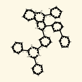 c1ccc(-c2cccc(-c3c(-c4cccc(-c5nc(-c6ccccc6)nc(-c6ccccc6)n5)c4)sc4c3c(-c3ccccc3)nc3ccccc34)c2)cc1